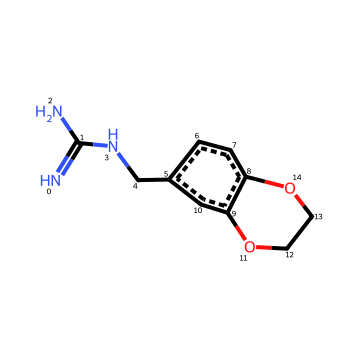 N=C(N)NCc1ccc2c(c1)OCCO2